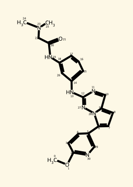 COc1ccc(-c2ccc3cnc(Nc4cccc(NC(=O)CN(C)C)c4)nn23)cn1